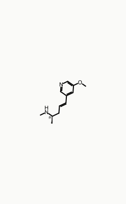 CN[C@H](C)CC=Cc1cncc(OC)c1